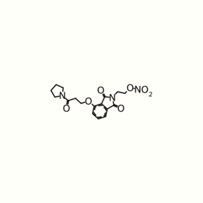 O=C(CCOc1cccc2c1C(=O)N(CCO[N+](=O)[O-])C2=O)N1CCCC1